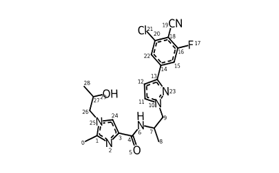 Cc1nc(C(=O)NC(C)Cn2ccc(-c3cc(F)c(C#N)c(Cl)c3)n2)cn1CC(C)O